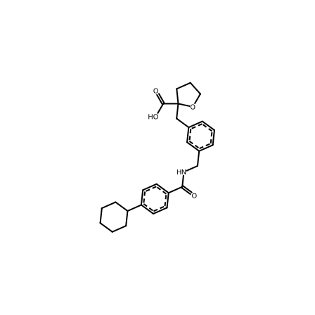 O=C(NCc1cccc(CC2(C(=O)O)CCCO2)c1)c1ccc(C2CCCCC2)cc1